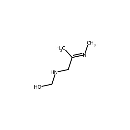 C/N=C(\C)CNCO